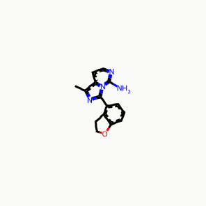 Cc1nc(-c2cccc3c2CCO3)n2c(N)nccc12